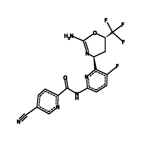 N#Cc1ccc(C(=O)Nc2ccc(F)c([C@@H]3C[C@@H](C(F)(F)F)OC(N)=N3)n2)nc1